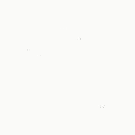 CCCOc1cc(O)c(CCC)cc1C=CC(=O)c1ccc(NC)cc1